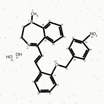 CN1CCN=C(C=Cc2ccccc2OCc2ccc([N+](=O)[O-])cc2)c2ccccc21.Cl.Cl